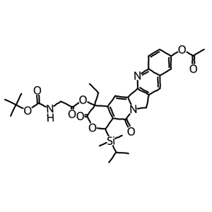 CCC1(OC(=O)CNC(=O)OC(C)(C)C)C(=O)OC([Si](C)(C)C(C)C)c2c1cc1n(c2=O)Cc2cc3cc(OC(C)=O)ccc3nc2-1